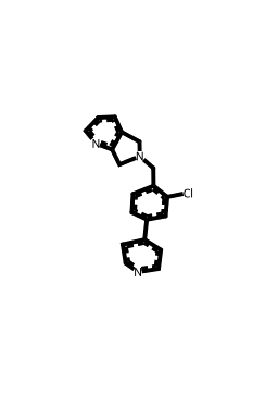 Clc1cc(-c2ccncc2)ccc1CN1Cc2cccnc2C1